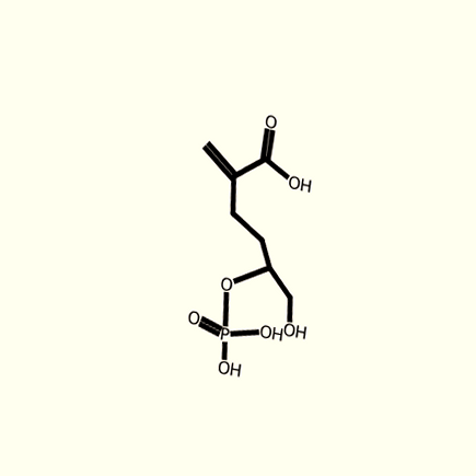 C=C(CCC(CO)OP(=O)(O)O)C(=O)O